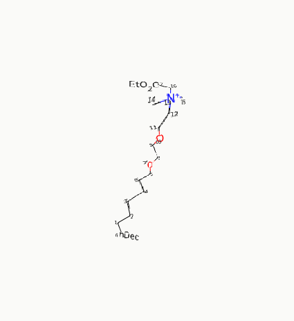 CCCCCCCCCCCCCCCCOCCOCC[N+](C)(C)CC(=O)OCC